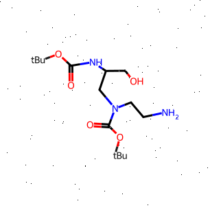 CC(C)(C)OC(=O)NC(CO)CN(CCN)C(=O)OC(C)(C)C